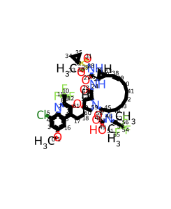 COc1cc(Cl)c2nc(C(F)(F)F)c3c(c2c1)CC[C@]1(C[C@H]2C(=O)N[C@]4(C(=O)NS(=O)(=O)C5(C)CC5)C[C@H]4/C=C\CCCCC[C@H](N(C(=O)O)C(C)(C)C(F)(F)F)C(=O)N2C1)O3